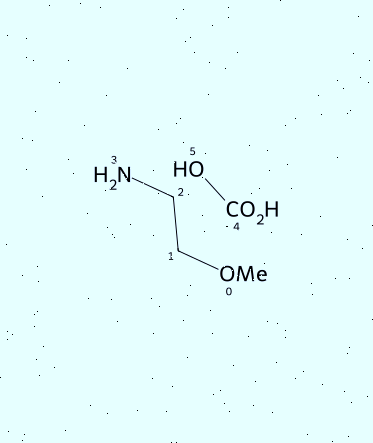 COCCN.O=C(O)O